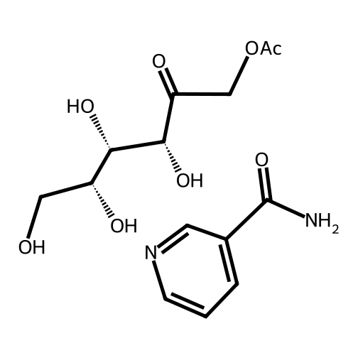 CC(=O)OCC(=O)[C@H](O)[C@@H](O)[C@H](O)CO.NC(=O)c1cccnc1